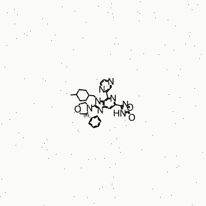 CC1CCC(Cn2c(N3CCOC[C@H]3c3ccccc3)nc3cc(-c4noc(=O)[nH]4)nc(-c4cnccn4)c32)CC1